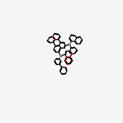 c1ccc(-c2cccc(N(c3cc(-c4ccccc4)c4c(-c5ccccc5)ccc(N(c5cccc(-c6ccccc6)c5)c5cccc6ccccc56)c4c3)c3cccc4ccccc34)c2)cc1